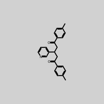 Cc1ccc(C(=O)CC(CC(=O)c2ccc(C)cc2)c2cccnc2)cc1